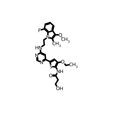 CCOc1cc(-c2cc(NCCn3c(C)c(OC)c4cccc(F)c43)ncn2)sc1NC(=O)CCO